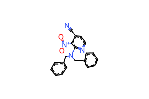 N#Cc1ccnc(N(Cc2ccccc2)Cc2ccccc2)c1[N+](=O)[O-]